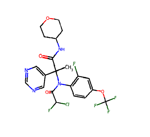 CC(C(=O)NC1CCOCC1)(c1cncnc1)N(C(=O)C(F)Cl)c1ccc(OC(F)(F)F)cc1F